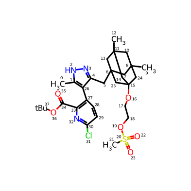 Cc1[nH]nc(CC23CC4(C)CC(C)(C2)CC(OCCOS(C)(=O)=O)(C4)C3)c1-c1ccc(Cl)nc1C(=O)OC(C)(C)C